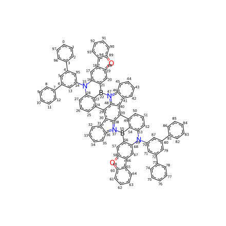 c1ccc(-c2cc(-c3ccccc3)cc(N3c4cc5c(cc4B4c6c(cccc63)-c3c6c7ccccc7n7c6c(c6c8ccccc8n4c36)-c3cccc4c3B7c3cc6oc7ccccc7c6cc3N4c3cc(-c4ccccc4)cc(-c4ccccc4)c3)oc3ccccc35)c2)cc1